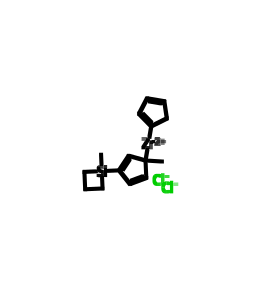 C[C]1([Zr+2][C]2=CC=CC2)C=CC([Si]2(C)CCC2)=C1.[Cl-].[Cl-]